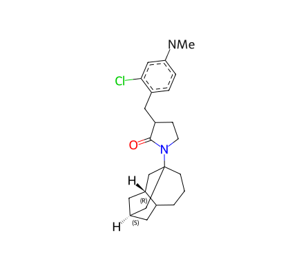 CNc1ccc(CC2CCN(C34CCCC5C[C@@H](C[C@@H]5C3)C4)C2=O)c(Cl)c1